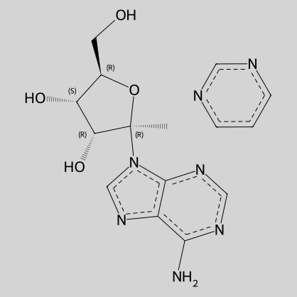 C[C@@]1(n2cnc3c(N)ncnc32)O[C@H](CO)[C@@H](O)[C@H]1O.c1cncnc1